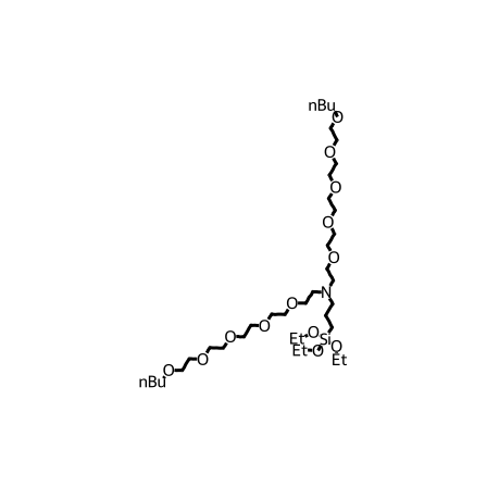 CCCCOCCOCCOCCOCCOCCN(CCC[Si](OCC)(OCC)OCC)CCOCCOCCOCCOCCOCCCC